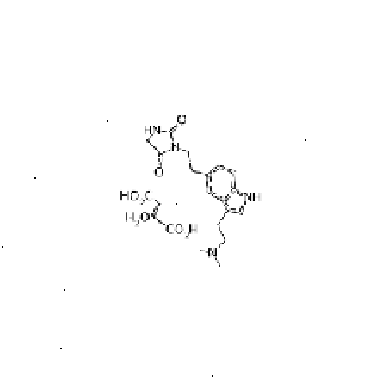 CN(C)CCc1c[nH]c2ccc(CCN3C(=O)CNC3=O)cc12.O.O=C(O)C=CC(=O)O